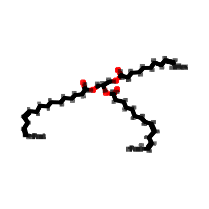 CCCCC/C=C\C/C=C\CCCCCCCCCC(=O)OC[C@@H](COC(=O)CCCCCCC/C=C\CCCCCC)OC(=O)CCCCCCC/C=C\C/C=C\CCCCC